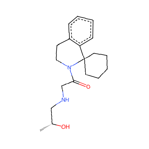 C[C@@H](O)CNCC(=O)N1CCc2ccccc2C12CCCCC2